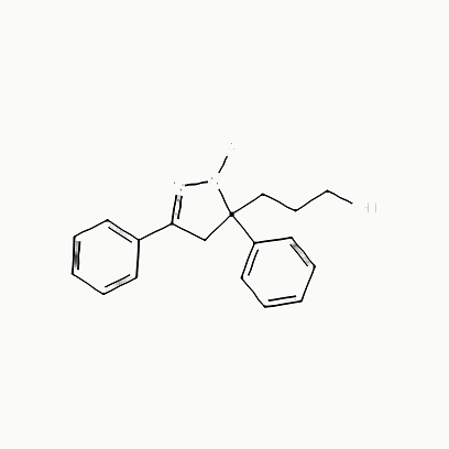 CC(=O)N1N=C(c2ccccc2)CC1(CCCO)c1ccccc1